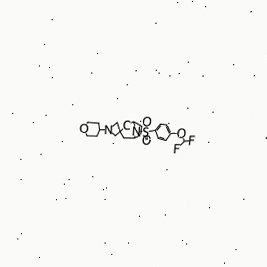 O=S(=O)(c1ccc(OC(F)F)cc1)N1C2CCC1CC1(C2)CN(C2CCOCC2)C1